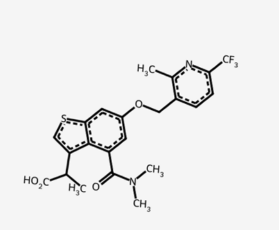 Cc1nc(C(F)(F)F)ccc1COc1cc(C(=O)N(C)C)c2c(C(C)C(=O)O)csc2c1